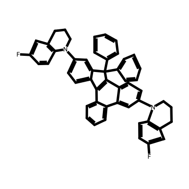 Fc1ccc2c(c1)CCCN2c1ccc2c(c1)C(c1ccccc1)(c1ccccc1)c1c-2c2ccccc2c2cc(N3CCCc4cc(F)ccc43)ccc12